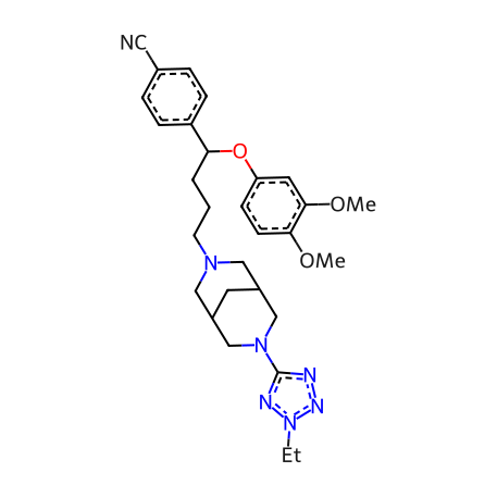 CCn1nnc(N2CC3CC(CN(CCCC(Oc4ccc(OC)c(OC)c4)c4ccc(C#N)cc4)C3)C2)n1